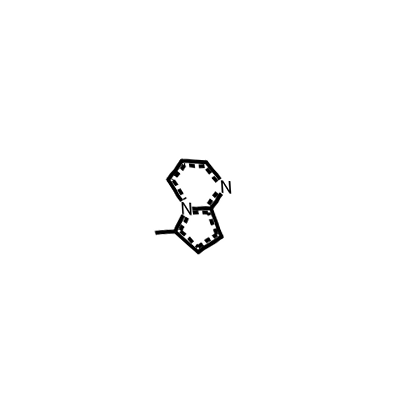 Cc1ccc2ncccn12